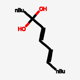 CCCCC=CC=CC(O)(O)CCCC